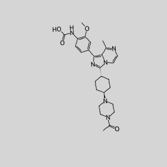 COc1cc(-c2nc([C@H]3CC[C@H](N4CCN(C(C)=O)CC4)CC3)n3ccnc(C)c23)ccc1NC(=O)O